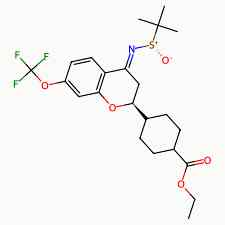 CCOC(=O)C1CCC([C@@H]2C/C(=N\[S@@+]([O-])C(C)(C)C)c3ccc(OC(F)(F)F)cc3O2)CC1